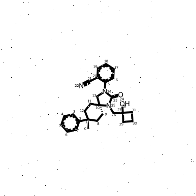 C[C@]1(c2ccccc2)CC[C@]2(CC1)CN(c1ccccc1C#N)C(=O)N2CC1(O)CCC1